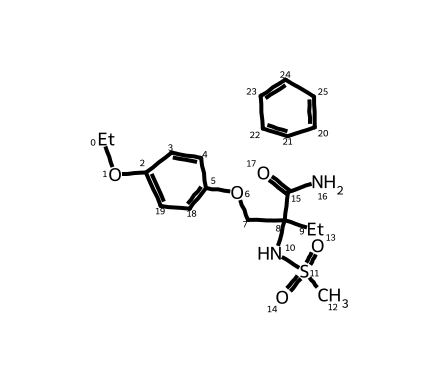 CCOc1ccc(OCC(CC)(NS(C)(=O)=O)C(N)=O)cc1.c1ccccc1